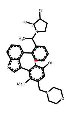 CCC1CCN(C(C)c2ccccc2-c2cccc3scc(-c4c(C=O)c(O)cc(CN5CCOCC5)c4OC)c23)[C@H]1O